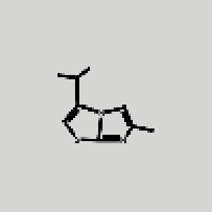 Cc1cn2c(C(C)C)csc2n1